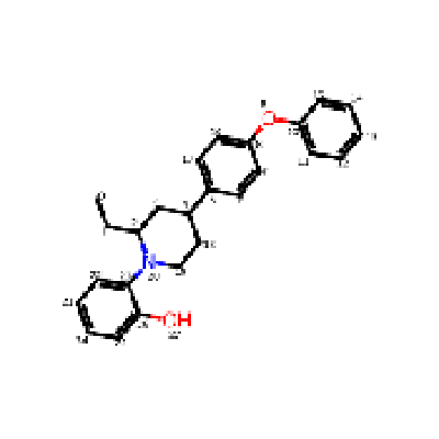 CCC1CC(c2ccc(Oc3ccccc3)cc2)CCN1c1ccccc1O